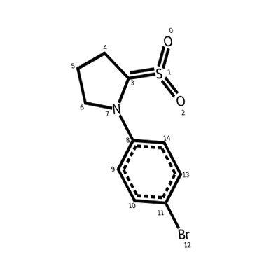 O=S(=O)=C1CCCN1c1ccc(Br)cc1